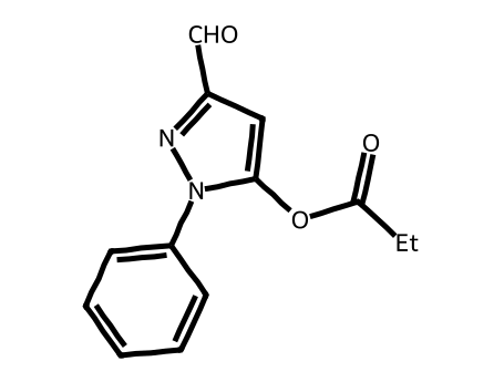 CCC(=O)Oc1cc(C=O)nn1-c1ccccc1